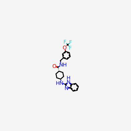 O=C(NCc1cccc(OC(F)(F)F)c1)[C@H]1CC[C@H](Nc2nc3ccccc3[nH]2)CC1